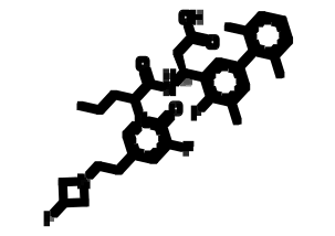 CCCC(C(=O)N[C@@H](CC(=O)O)c1cc(-c2c(C)cccc2C)cc(C)c1F)n1cc(CCN2CC(F)C2)cc(F)c1=O